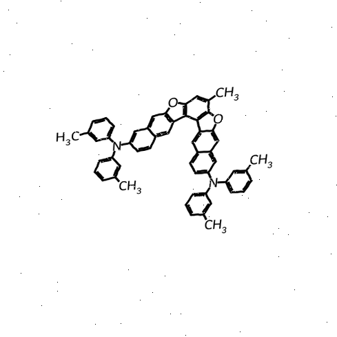 Cc1cccc(N(c2cccc(C)c2)c2ccc3cc4c(cc3c2)oc2cc(C)c3oc5cc6cc(N(c7cccc(C)c7)c7cccc(C)c7)ccc6cc5c3c24)c1